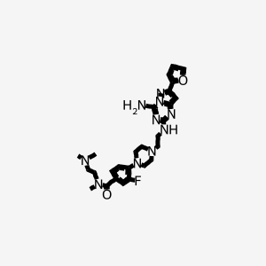 CN(C)CCN(C)C(=O)c1ccc(N2CCN(CCNc3nc(N)n4nc(-c5ccco5)cc4n3)CC2)c(F)c1